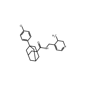 CC1CN=CC=C1CNC(=O)C12CC3CC(C1)CC(c1ccc(Cl)cc1)(C3)C2